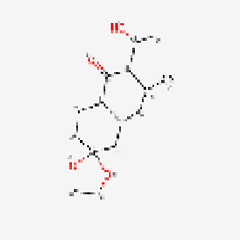 CC(O)C1C(=O)C2CCC3(CC2CC1C#N)OCCO3